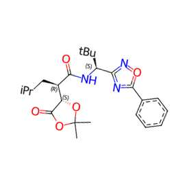 CC(C)C[C@@H](C(=O)N[C@H](c1noc(-c2ccccc2)n1)C(C)(C)C)[C@@H]1OC(C)(C)OC1=O